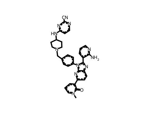 Cn1cccc(-c2ccc3nc(-c4cccnc4N)n(-c4ccc(CN5CCC(Nc6ccnc(C#N)n6)CC5)cc4)c3n2)c1=O